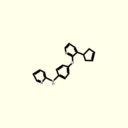 C1=CCC(c2cccnc2Oc2ccc(Nc3ccccn3)cc2)C1